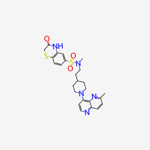 Cc1ccc2nccc(N3CCC(CCN(C)S(=O)(=O)c4ccc5c(c4)NC(=O)CS5)CC3)c2n1